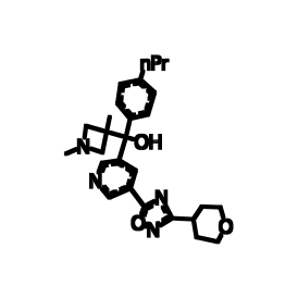 CCCc1ccc(C(O)(c2cncc(-c3nc(C4CCOCC4)no3)c2)C2(C)CN(C)C2)cc1